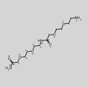 NCCOCCOCC(=O)NCCOCCOCC(N)=O